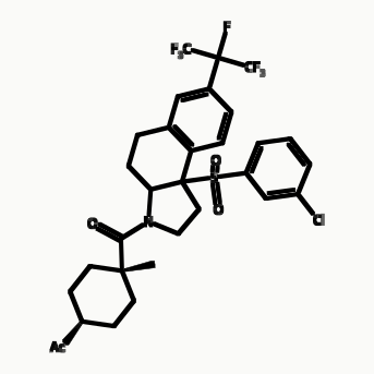 CC(=O)[C@H]1CC[C@](C)(C(=O)N2CCC3(S(=O)(=O)c4cccc(Cl)c4)c4ccc(C(F)(C(F)(F)F)C(F)(F)F)cc4CCC23)CC1